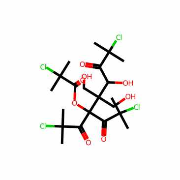 CC(C)(Cl)C(=O)OC(C(=O)C(C)(C)Cl)(C(=O)C(C)(C)Cl)C(CO)(CO)C(O)C(=O)C(C)(C)Cl